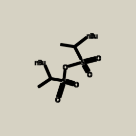 CCCCC(C)S(=O)(=O)OS(=O)(=O)C(C)CCCC